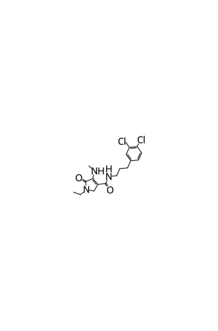 CCN1CC(C(=O)NCCCc2ccc(Cl)c(Cl)c2)=C(NC)C1=O